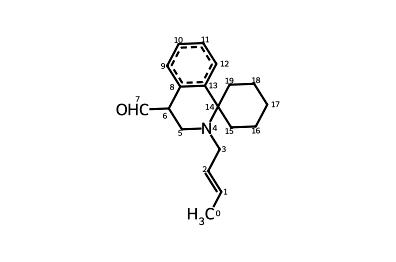 CC=CCN1CC(C=O)c2ccccc2C12CCCCC2